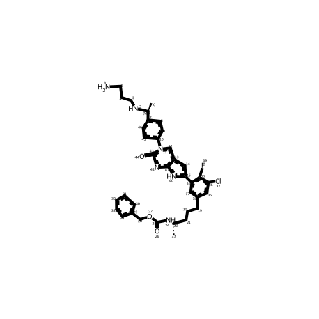 C[C@H](NCCCN)c1ccc(-n2cc3cc(-c4cc(CCC[C@H](C)NC(=O)OCc5ccccc5)cc(Cl)c4F)[nH]c3nc2=O)cc1